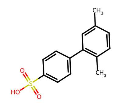 Cc1ccc(C)c(-c2ccc(S(=O)(=O)O)cc2)c1